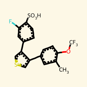 Cc1cc(-c2cscc2-c2ccc(S(=O)(=O)O)c(F)c2)ccc1OC(F)(F)F